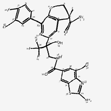 C[C@]1(C(N)=O)COc2c1cc(C(O)(CNC(=O)c1cc(Cl)c3nc(N)sc3c1)C(F)(F)F)nc2-c1ccc(F)c(Cl)c1